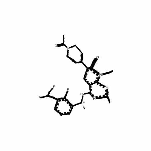 CC(=O)N1CC=C(c2cc3c(N[C@H](C)c4cccc(C(F)F)c4F)nc(C)nc3n(C)c2=O)CC1